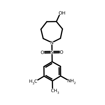 Cc1cc(S(=O)(=O)N2CCCC(O)CC2)cc(N)c1C